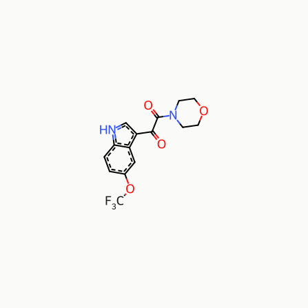 O=C(C(=O)N1CCOCC1)c1c[nH]c2ccc(OC(F)(F)F)cc12